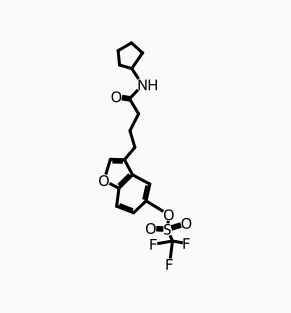 O=C(CCCc1coc2ccc(OS(=O)(=O)C(F)(F)F)cc12)NC1CCCC1